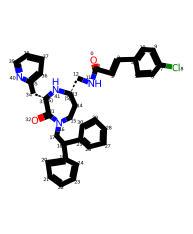 O=C(C=Cc1ccc(Cl)cc1)NC[C@@H]1CCN(CC(c2ccccc2)c2ccccc2)C(=O)[C@H](Cc2ccccn2)N1